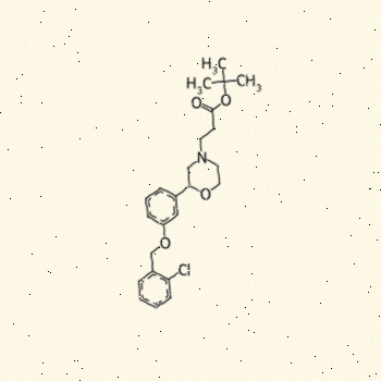 CC(C)(C)OC(=O)CCN1CCOC(c2cccc(OCc3ccccc3Cl)c2)C1